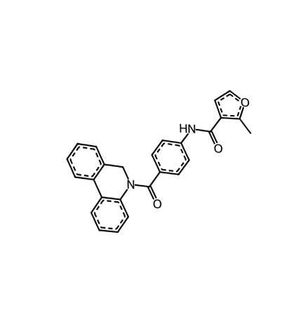 Cc1occc1C(=O)Nc1ccc(C(=O)N2Cc3ccccc3-c3ccccc32)cc1